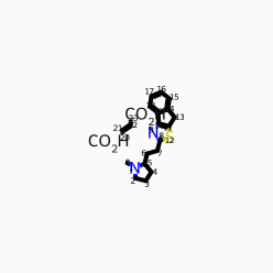 CN1CCCC1CCc1nc2c(s1)Cc1ccccc1-2.O=C(O)/C=C/C(=O)O